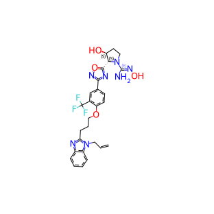 C=CCn1c(CCCOc2ccc(-c3noc([C@@H]4[C@@H](O)CCN4/C(N)=N/O)n3)cc2C(F)(F)F)nc2ccccc21